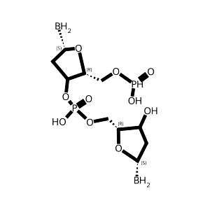 B[C@H]1CC(O)[C@@H](COP(=O)(O)OC2C[C@H](B)O[C@@H]2CO[PH](=O)O)O1